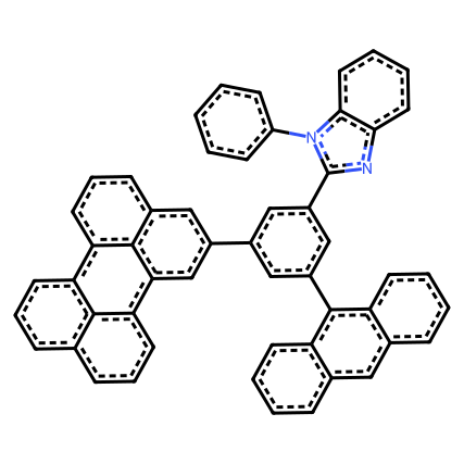 c1ccc(-n2c(-c3cc(-c4cc5cccc6c7cccc8cccc(c(c4)c56)c87)cc(-c4c5ccccc5cc5ccccc45)c3)nc3ccccc32)cc1